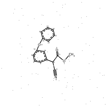 COC(=O)C(C#N)c1cccc(Oc2ccccc2)c1